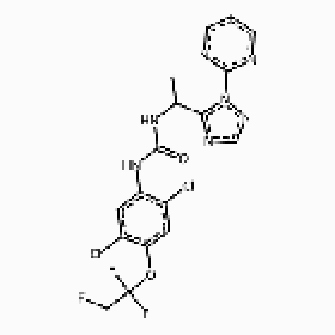 CC(NC(=O)Nc1cc(Cl)c(OC(F)(F)CF)cc1Cl)c1ncnn1-c1ncccn1